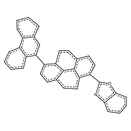 c1ccc2c(c1)cc(-c1ccc3ccc4c(-c5nc6ccccc6o5)ccc5ccc1c3c54)c1ccccc12